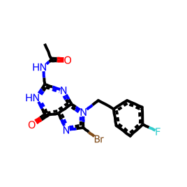 CC(=O)Nc1nc2c(nc(Br)n2Cc2ccc(F)cc2)c(=O)[nH]1